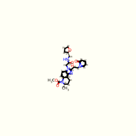 COC(=O)N1c2ccc3c(nc(CCn4ccccc4=O)n3CC(O)NC[C@H]3CCCO3)c2CC[C@@H]1C